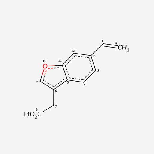 C=Cc1ccc2c(CC(=O)OCC)coc2c1